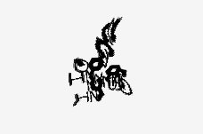 COc1cc(N2CCC(N3CCN(C)CC3)CC2)ncc1Nc1nc(Nc2cccc3ccn(S(C)(=O)=O)c23)c2cc[nH]c2n1